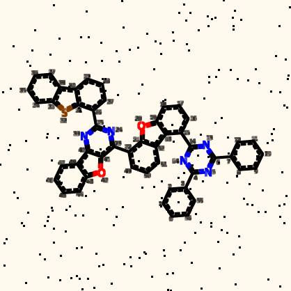 c1ccc(-c2nc(-c3ccccc3)nc(-c3cccc4oc5c(-c6nc(-c7cccc8c7sc7ccccc78)nc7c6oc6ccccc67)cccc5c34)n2)cc1